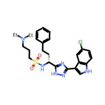 CCN(CC)CCCS(=O)(=O)N[C@H](CCc1ccccc1)c1nc(-c2c[nH]c3ccc(Cl)cc23)n[nH]1